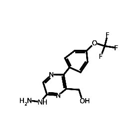 NNc1cnc(-c2ccc(OC(F)(F)F)cc2)c(CO)n1